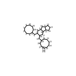 C1CCCCC(CC2CC3CC4CCCC4C3CC2CC2CCCCCNCC2)CCC1